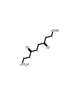 O=CCCC(=O)CCC(=O)CCC(=O)O